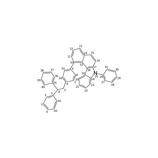 c1ccc(C(Cc2ccc(-c3cccc4ccc5c(c6ccccc6n5-c5ccccc5)c34)cc2)c2ccccc2)cc1